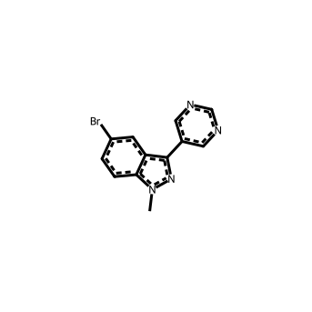 Cn1nc(-c2cncnc2)c2cc(Br)ccc21